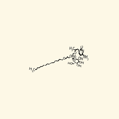 CCCCCCCCCCCCCCCCOCCCOP(=O)(COC(C)Cn1ccc(N)nc1=O)O[C@H]1O[C@H](CO)[C@H](O)[C@H](O)[C@H]1O